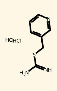 Cl.Cl.N=C(N)SCc1cccnc1